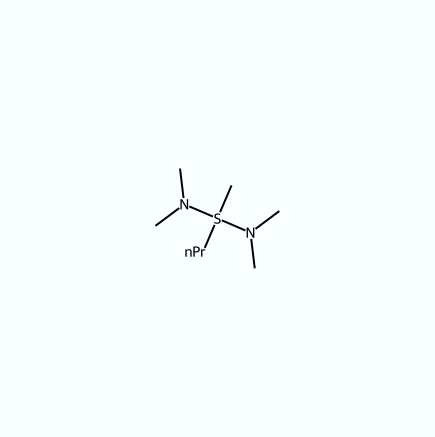 CCCS(C)(N(C)C)N(C)C